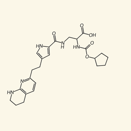 O=C(NC(CNC(=O)c1cc(CCc2ccc3c(n2)NCCC3)c[nH]1)C(=O)O)OC1CCCC1